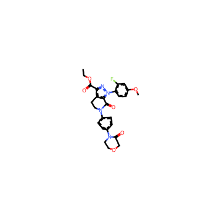 CCOC(=O)c1nn(-c2ccc(OC)cc2F)c2c1CCN(c1ccc(N3CCOCC3=O)cc1)C2=O